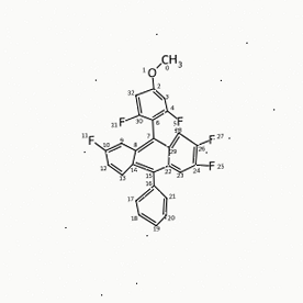 COc1cc(F)c(-c2c3cc(F)ccc3c(-c3ccccc3)c3cc(F)c(F)cc23)c(F)c1